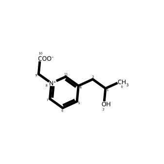 CC(O)Cc1ccc[n+](CC(=O)[O-])c1